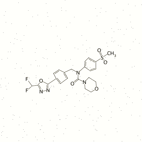 CS(=O)(=O)c1ccc(N(Cc2ccc(-c3nnc(C(F)F)o3)cc2)C(=O)N2CCOCC2)cc1